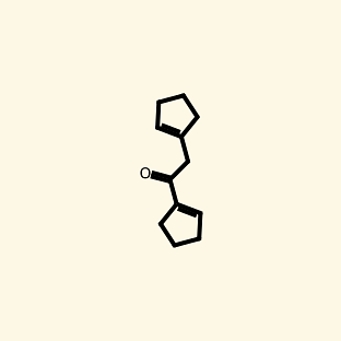 O=C(CC1=CCCC1)C1=CCCC1